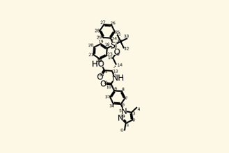 Cc1cc(C)n(-c2ccc(C(=O)N[C@@H](CCO[Si](c3ccccc3)(c3ccccc3)C(C)(C)C)C(=O)O)cc2)n1